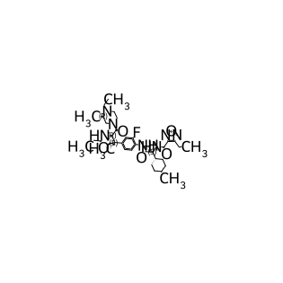 CCC(=O)N[C@@H](C(=O)N1CCN(CC)[C@H](C)C1)[C@@H](C)c1ccc(NC(=O)[C@@H](NC(=O)c2nonc2CC)[C@H]2CC[C@H](C)CC2)c(F)c1